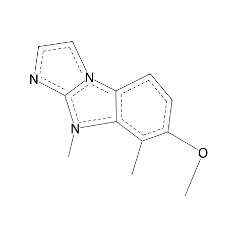 COc1ccc2c(c1C)n(C)c1nccn21